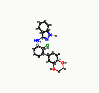 Cn1nc(Nc2cccc(-c3ccc4c(c3)OCCO4)c2Cl)c2ccccc21